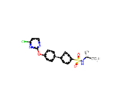 CC(C)[C@@H](NS(=O)(=O)c1ccc(-c2ccc(Oc3nccc(Cl)n3)cc2)cc1)C(=O)O